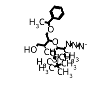 CC(OCC(O[C@@H](O[Si](C)(C)C(C)(C)C)[C@H](C)N=[N+]=[N-])[C@@H](C)CO)c1ccccc1